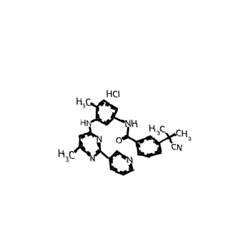 Cc1cc(Nc2cc(NC(=O)c3cccc(C(C)(C)C#N)c3)ccc2C)nc(-c2cccnc2)n1.Cl